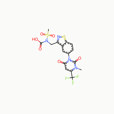 Cn1c(C(F)(F)F)cc(=O)n(-c2ccc3snc(CN(C(=O)O)S(C)(=O)=O)c3c2)c1=O